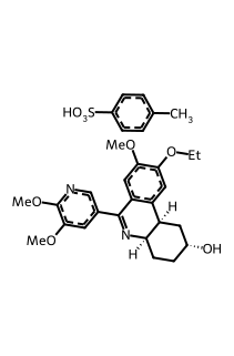 CCOc1cc2c(cc1OC)C(c1cnc(OC)c(OC)c1)=N[C@@H]1CC[C@@H](O)C[C@H]21.Cc1ccc(S(=O)(=O)O)cc1